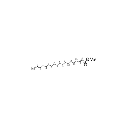 CCC=CCCCCCCCCCCCC=CC=CC(=O)OC